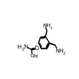 NC(=O)O.NCc1ccccc1CN